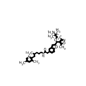 Cc1cnc(CC(C)CCCNC(=O)Cc2ccc3oc(C(OCC(C)(C)N)c4c(C)noc4C)cc3c2)c(C)c1